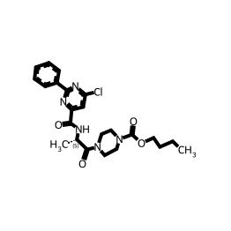 CCCCOC(=O)N1CCN(C(=O)[C@H](C)NC(=O)c2cc(Cl)nc(-c3ccccc3)n2)CC1